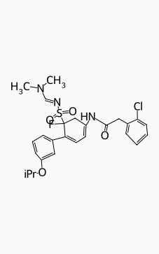 CC(C)Oc1cccc(C2=CC=C(NC(=O)Cc3ccccc3Cl)CC2(F)S(=O)(=O)N=CN(C)C)c1